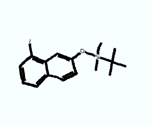 CC(C)(C)[Si](C)(C)Oc1ccc2cccc(I)c2c1